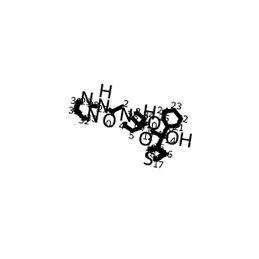 O=C(C[N+]12CCC(CC1)[C@@H](OC(=O)C(O)(c1ccsc1)C1CCCCC1)C2)Nc1ncccn1